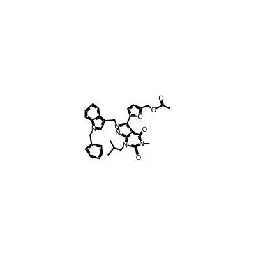 CC(=O)OCc1ccc(-c2c3c(=O)n(C)c(=O)n(CC(C)C)c3nn2Cc2cn(Cc3ccccc3)c3ccccc23)o1